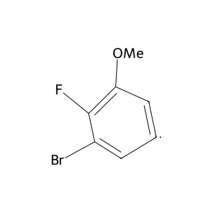 COc1c[c]cc(Br)c1F